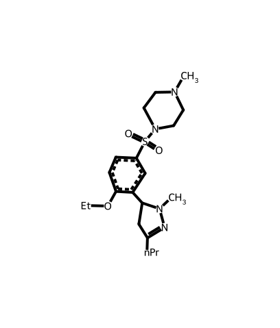 CCCC1=NN(C)C(c2cc(S(=O)(=O)N3CCN(C)CC3)ccc2OCC)C1